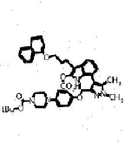 Cc1c(-c2cccc3c(CCCOc4cccc5ccccc45)c(OC(=O)O)[nH]c23)c(COc2ccc(N3CCN(C(=O)OC(C)(C)C)CC3)cc2)nn1C